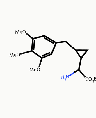 CCOC(=O)C(N)C1CC1Cc1cc(OC)c(OC)c(OC)c1